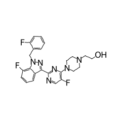 OCCN1CCN(c2nc(-c3nn(Cc4ccccc4F)c4c(F)cccc34)ncc2F)CC1